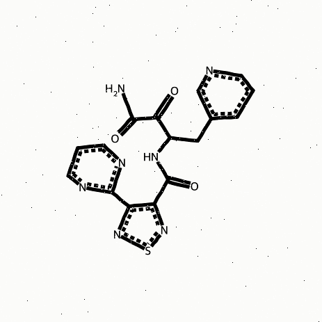 NC(=O)C(=O)C(Cc1cccnc1)NC(=O)c1nsnc1-c1ncccn1